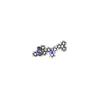 c1ccc(N(c2ccc(-c3ccc4c5ccccc5c5ccccc5c4c3)cc2)c2cccc(-c3cccc4c3-c3ccccc3C43c4ccccc4-n4c5ccccc5c5cccc3c54)c2)cc1